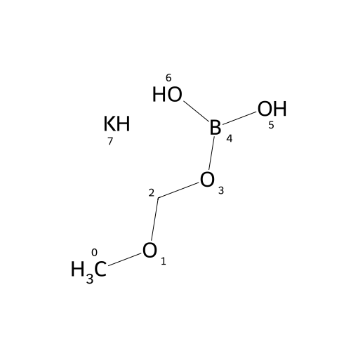 COCOB(O)O.[KH]